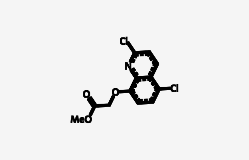 COC(=O)COc1ccc(Cl)c2ccc(Cl)nc12